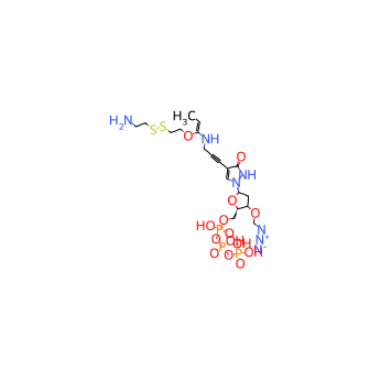 CC=C(NCC#Cc1cn([C@H]2C[C@@H](OCN=[N+]=[N-])[C@@H](COP(=O)(O)OP(=O)(O)OP(=O)(O)O)O2)[nH]c1=O)OCCSSCCN